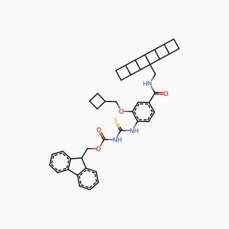 O=C(NC(=S)Nc1ccc(C(=O)NCC23C4C5CCC5C4C2C2C4CCC4C23)cc1OCC1CCC1)OCC1c2ccccc2-c2ccccc21